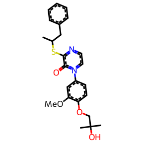 COc1cc(-n2ccnc(SC(C)Cc3ccccc3)c2=O)ccc1OCC(C)(C)O